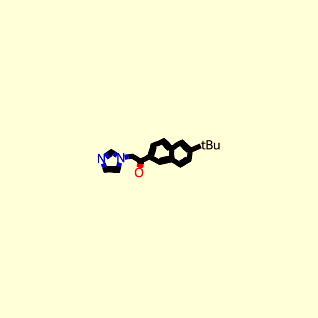 CC(C)(C)c1ccc2cc(C(=O)Cn3ccnc3)ccc2c1